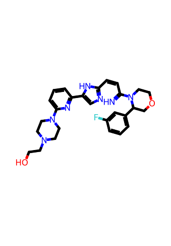 N=C(/C=C\c1ncc(-c2cccc(N3CCN(CCO)CC3)n2)[nH]1)N1CCOCC1c1cccc(F)c1